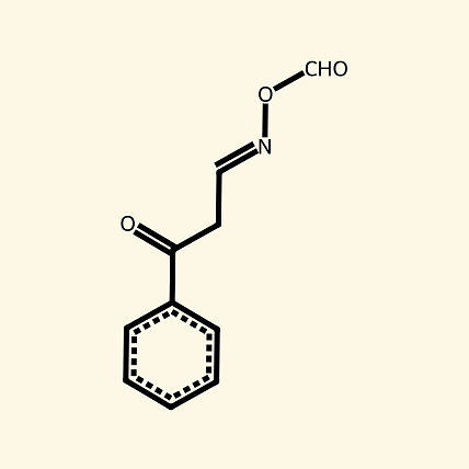 O=CON=CCC(=O)c1ccccc1